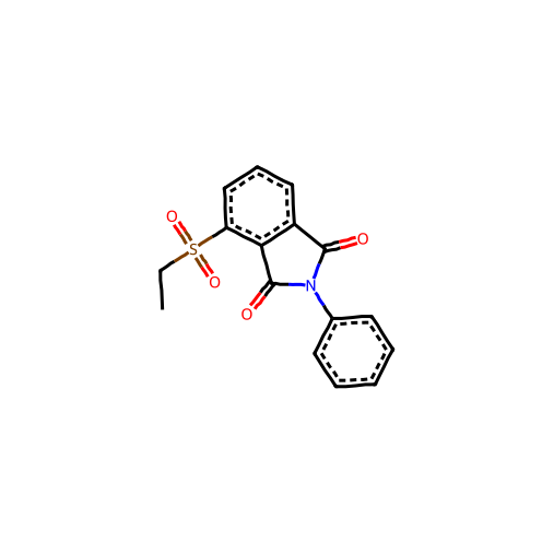 CCS(=O)(=O)c1cccc2c1C(=O)N(c1ccccc1)C2=O